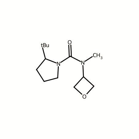 CN(C(=O)N1CCCC1C(C)(C)C)C1COC1